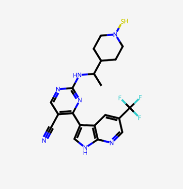 CC(Nc1ncc(C#N)c(-c2c[nH]c3ncc(C(F)(F)F)cc23)n1)C1CCN(S)CC1